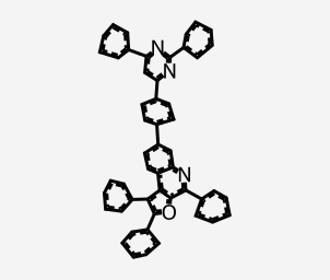 c1ccc(-c2cc(-c3ccc(-c4ccc5c(c4)nc(-c4ccccc4)c4oc(-c6ccccc6)c(-c6ccccc6)c45)cc3)nc(-c3ccccc3)n2)cc1